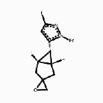 CC(C)n1nc(I)cc1[C@@H]1[C@@H]2CC3(CO3)C[C@@H]21